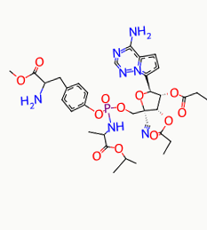 CCC(=O)O[C@H]1[C@H](c2ccc3c(N)ncnn23)O[C@](C#N)(COP(=O)(NC(C)C(=O)OC(C)C)Oc2ccc(CC(N)C(=O)OC)cc2)[C@H]1OC(=O)CC